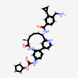 C[C@H]1CCC[C@H](NC(=O)c2ccc(CN)c(C3CC3)c2)c2cc(ccn2)-c2ccc(NC(=O)OC3CCCC3)cc2NC1=O